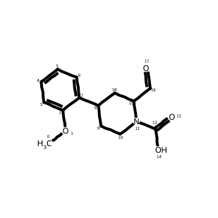 COc1ccccc1C1CCN(C(=O)O)C(C=O)C1